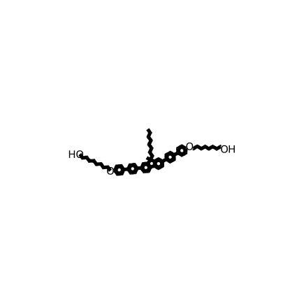 CCCCCCCCC1(C)c2cc(-c3ccc(-c4ccc(OCCCCCCCCO)cc4)cc3)ccc2-c2ccc(-c3ccc(-c4ccc(OCCCCCCCCO)cc4)cc3)cc21